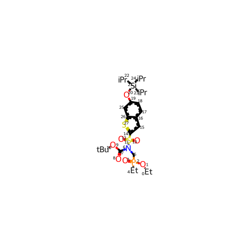 CCOP(=O)(CC)CN(C(=O)OC(C)(C)C)S(=O)(=O)c1cc2ccc(O[Si](C(C)C)(C(C)C)C(C)C)cc2s1